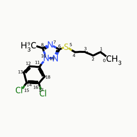 CCC[CH]CSc1nc(C)n(-c2ccc(Cl)c(Cl)c2)n1